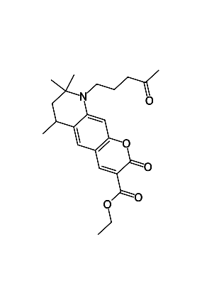 CCOC(=O)c1cc2cc3c(cc2oc1=O)N(CCCC(C)=O)C(C)(C)CC3C